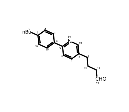 CCCCc1ccc(-c2ccc(CCCC=O)cn2)cc1